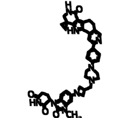 Cn1c(=O)n(C2CCC(=O)NC2=O)c2ccc(N3CC(CN4CCN(c5ccc(-c6cc7c(cn6)CCc6c-7[nH]c7c6C(=O)NCC76CC6)cc5)CC4)C3)cc21